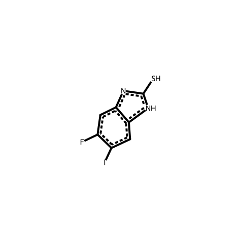 Fc1cc2nc(S)[nH]c2cc1I